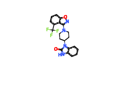 O=c1[nH]c2ccccc2n1C1CCN(c2noc3cccc(C(F)(F)F)c23)CC1